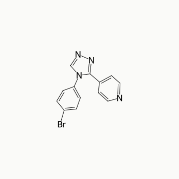 Brc1ccc(-n2cnnc2-c2ccncc2)cc1